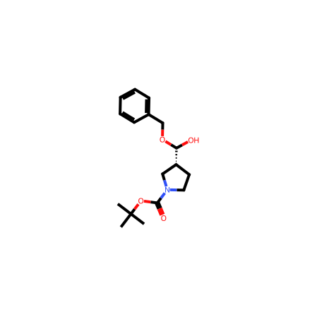 CC(C)(C)OC(=O)N1CC[C@@H](C(O)OCc2ccccc2)C1